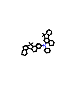 CC1(C)c2ccccc2-c2c1cc(N(c1ccccc1)c1ccc3c4c(ccc3c1)-c1c(ccc3ccccc13)C4(C)C)c1ccccc21